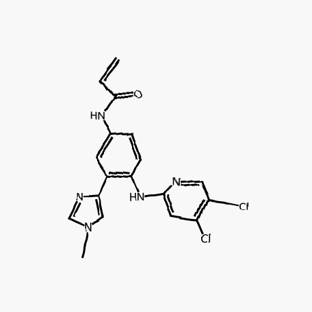 C=CC(=O)Nc1ccc(Nc2cc(Cl)c(Cl)cn2)c(-c2cn(C)cn2)c1